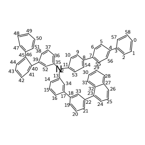 c1ccc(-c2ccc(-c3ccc(N(c4cccc(-c5cccc(-c6cccc7ccccc67)c5)c4)c4cccc(-c5ccccc5-c5ccccc5)c4)cc3)cc2)cc1